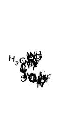 C[C@@H](CN1CC(C(=O)N2CCN(c3ncc(F)cn3)CC2)C1)Nc1cn[nH]c(=O)c1C(F)(F)F